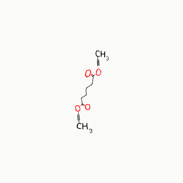 CC#COC(=O)CCCCC(=O)OC#CC